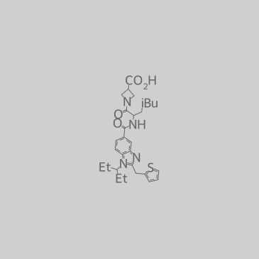 CCC(C)CC(NC(=O)c1ccc2c(c1)nc(Cc1cccs1)n2C(CC)CC)C(=O)N1CC(C(=O)O)C1